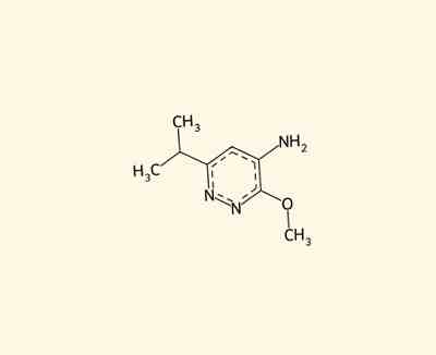 COc1nnc(C(C)C)cc1N